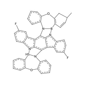 CC1C=CC2=C(C1)Oc1ccccc1N1B2n2c3ccc(F)cc3c3c4c5c(c1c32)c1cc(F)ccc1n5[SH]1c2ccccc2Oc2ccccc2N41